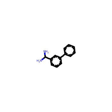 NC(N)c1[c]c(-c2[c]cccc2)ccc1